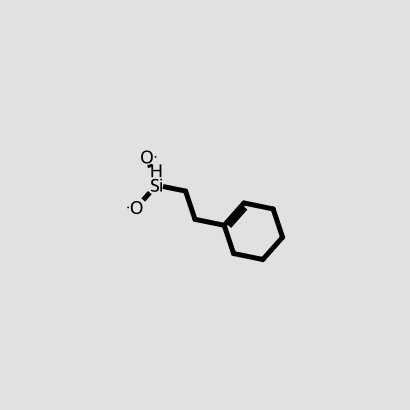 [O][SiH]([O])CCC1=CCCCC1